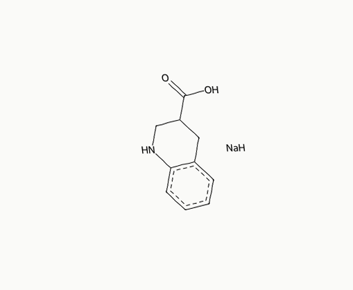 O=C(O)C1CNc2ccccc2C1.[NaH]